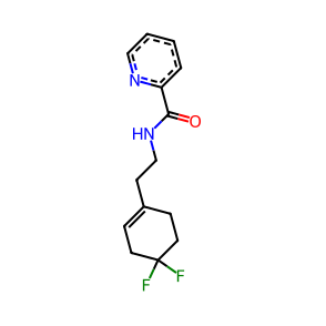 O=C(NCCC1=CCC(F)(F)CC1)c1ccccn1